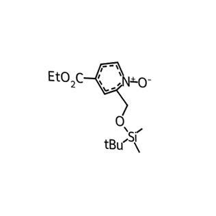 CCOC(=O)c1cc[n+]([O-])c(CO[Si](C)(C)C(C)(C)C)c1